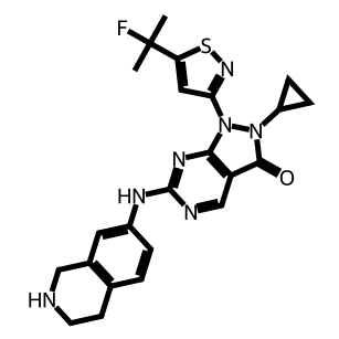 CC(C)(F)c1cc(-n2c3nc(Nc4ccc5c(c4)CNCC5)ncc3c(=O)n2C2CC2)ns1